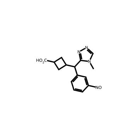 Cn1cnnc1C(c1cccc(N=O)c1)C1CC(C(=O)O)C1